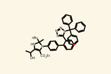 CCCCC1(C)NC(C(C)O)=C(C(=O)OCC)N1c1ccc(-c2ccccc2-c2nnnn2C(c2ccccc2)(c2ccccc2)c2ccccc2)cc1